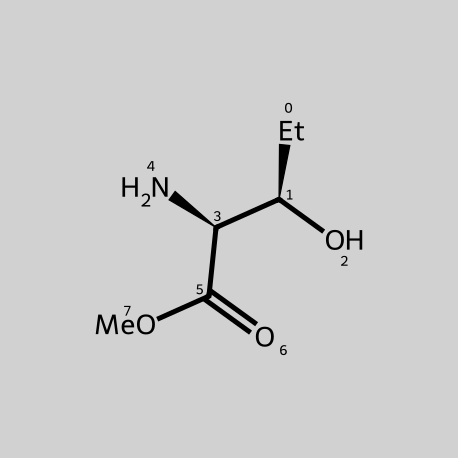 CC[C@@H](O)[C@H](N)C(=O)OC